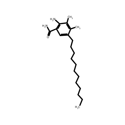 CCCCCCCCCCCCc1cc(C(N)=O)c(N)c(C)c1C